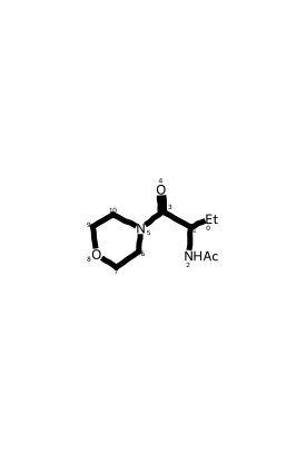 CCC(NC(C)=O)C(=O)N1CCOCC1